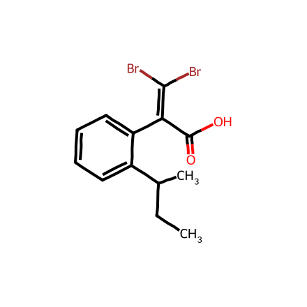 CCC(C)c1ccccc1C(C(=O)O)=C(Br)Br